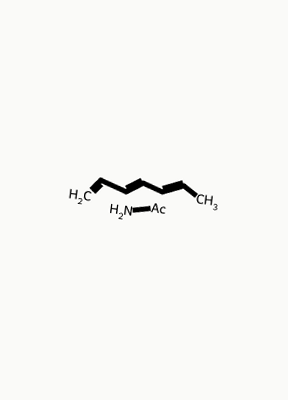 C=CC=CC=CC.CC(N)=O